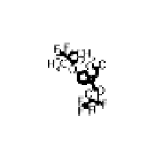 CCC(C)(C(=O)OC1C2CC3C1OC(=O)C3C2C(=O)OC(C(F)(F)F)C(F)(F)F)C(F)(F)F